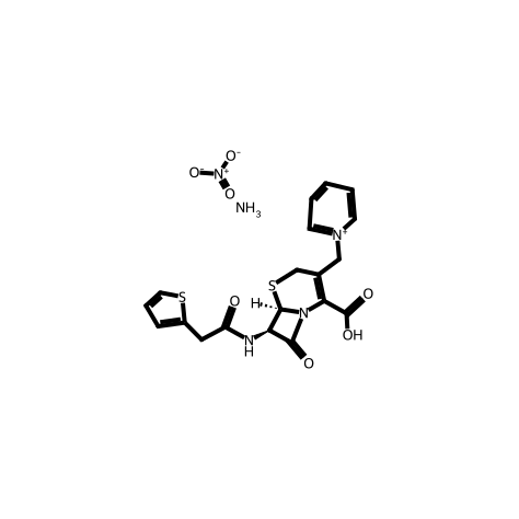 N.O=C(Cc1cccs1)N[C@@H]1C(=O)N2C(C(=O)O)=C(C[n+]3ccccc3)CS[C@H]12.O=[N+]([O-])[O-]